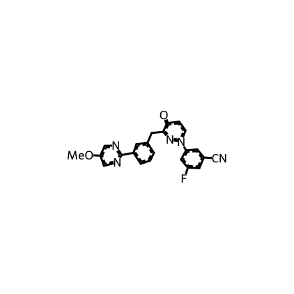 COc1cnc(-c2cccc(Cc3nn(-c4cc(F)cc(C#N)c4)ccc3=O)c2)nc1